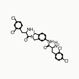 NC(Cc1ccc(Cl)cc1Cl)C(=O)Nc1ccc2c(c1)CN(C(=O)C(N)Cc1ccc(Cl)cc1Cl)C2